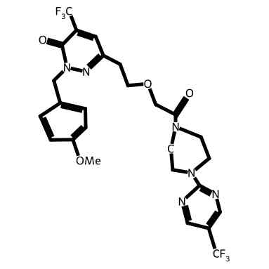 COc1ccc(Cn2nc(CCOCC(=O)N3CCN(c4ncc(C(F)(F)F)cn4)CC3)cc(C(F)(F)F)c2=O)cc1